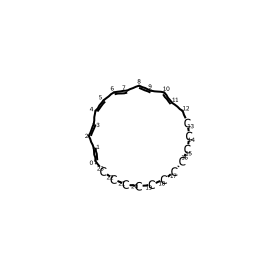 [C]1=C/C=C/C=C\C=C\C=C\C=C\CCCCCCCCCCCC/1